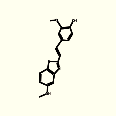 CNc1ccc2sc(/C=C/c3ccc(O)c(OC)c3)nc2c1